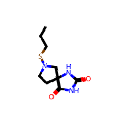 CCCSN1CCC2(C1)NC(=O)NC2=O